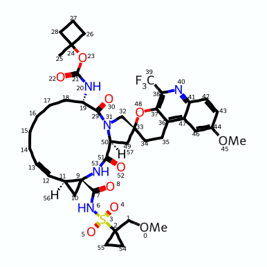 COCC1(S(=O)(=O)NC(=O)[C@@]23C[C@H]2/C=C\CCCCC[C@H](NC(=O)OC2(C)CCC2)C(=O)N2C[C@@]4(CCc5c(c(C(F)(F)F)nc6ccc(OC)cc56)O4)C[C@H]2C(=O)N3)CC1